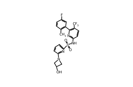 Cc1ccc(F)cc1-c1nc(NS(=O)(=O)c2cccc(N3CC(O)C3)n2)ccc1C(F)(F)F